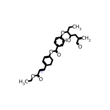 C=C(C=O)CC(O)C(CC)Oc1ccc(C(=O)OC2=CC=C(/C=C/C(=O)OCC)CC2)cc1